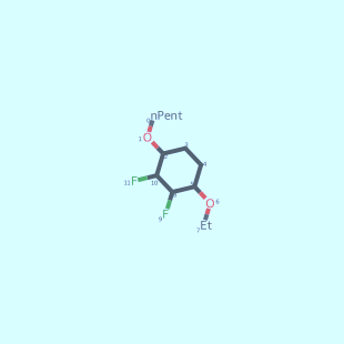 CCCCCOC1CCC(OCC)C(F)C1F